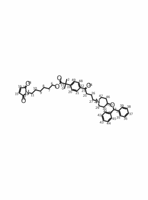 CC(C)(C(=O)OCCCCCCN1C(=O)C=CC1=O)c1ccc(C(=O)CCCN2CCC(OC(c3ccccc3)c3ccccc3)CC2)cc1